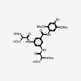 CCCCCCCCC(CCCCCC)C(=O)Nc1cc(NC(=O)C(CCCCCC)CCCCCCCC)cc(C(=O)Nc2cc(OC)c(C(C)=O)cc2OC)c1